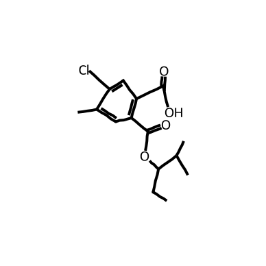 CCC(OC(=O)c1cc(C)c(Cl)cc1C(=O)O)C(C)C